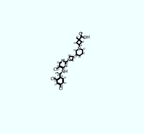 C[C@@H](Nc1nc(N2CC([C@H]3CCCN(C4CC(C)(C(=O)O)C4)C3)C2)ncc1Cl)c1ccc(Cl)cc1Cl